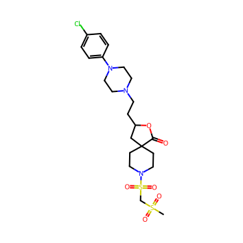 CS(=O)(=O)CS(=O)(=O)N1CCC2(CC1)CC(CCN1CCN(c3ccc(Cl)cc3)CC1)OC2=O